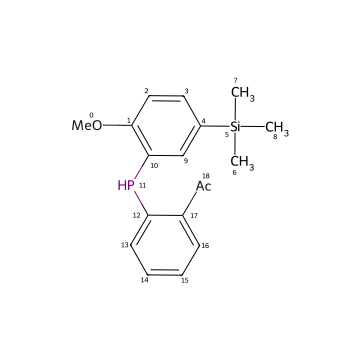 COc1ccc([Si](C)(C)C)cc1Pc1ccccc1C(C)=O